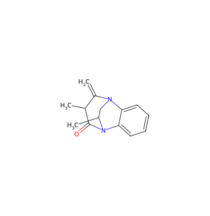 C=C1C(C)C(=O)N2c3ccccc3N1CC2C